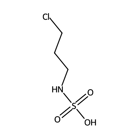 O=S(=O)(O)NCCCCl